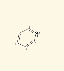 C1=CC=[SH]C=C1